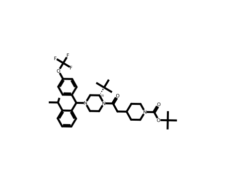 CC(C)c1ccccc1C(c1ccc(OC(F)(F)F)cc1)N1CCN(C(=O)CC2CCN(C(=O)OC(C)(C)C)CC2)[C@@H](C(C)(C)C)C1